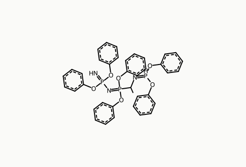 CC(N=[PH](Oc1ccccc1)Oc1ccccc1)P(=NP(=N)(Oc1ccccc1)Oc1ccccc1)(Oc1ccccc1)Oc1ccccc1